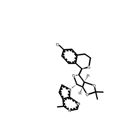 Cc1ncnc2c1ccn2[C@@H]1O[C@H]([C@@H]2OCCc3cc(Cl)ccc32)[C@H]2OC(C)(C)O[C@H]21